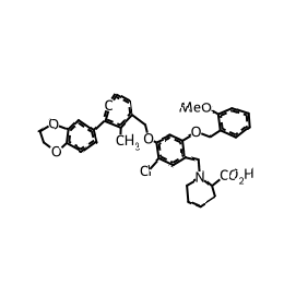 COc1ccccc1COc1cc(OCc2cccc(-c3ccc4c(c3)OCCO4)c2C)c(Cl)cc1CN1CCCCC1C(=O)O